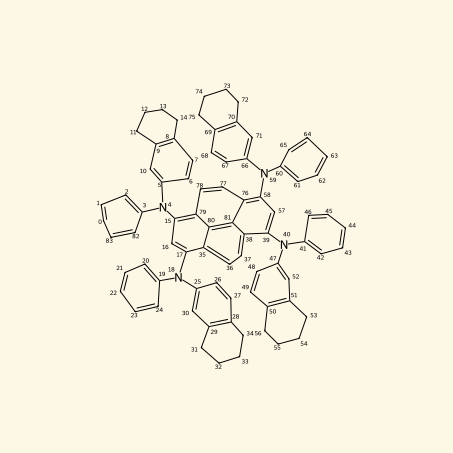 c1ccc(N(c2ccc3c(c2)CCCC3)c2cc(N(c3ccccc3)c3ccc4c(c3)CCCC4)c3ccc4c(N(c5ccccc5)c5ccc6c(c5)CCCC6)cc(N(c5ccccc5)c5ccc6c(c5)CCCC6)c5ccc2c3c54)cc1